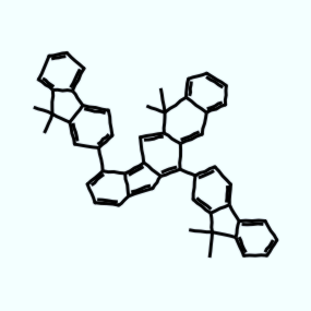 CC1(C)c2ccccc2-c2ccc(-c3c4c(cc5c3=Cc3ccccc3C5(C)C)=c3c(-c5ccc6c(c5)C(C)(C)c5ccccc5-6)cccc3=C4)cc21